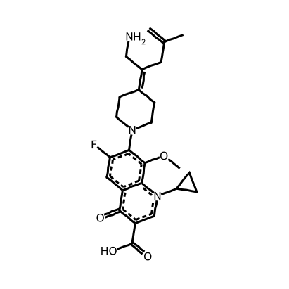 C=C(C)CC(CN)=C1CCN(c2c(F)cc3c(=O)c(C(=O)O)cn(C4CC4)c3c2OC)CC1